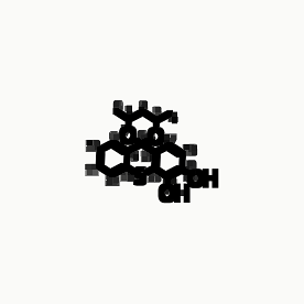 CC1CC(C)OC2(O1)c1ccccc1Sc1c2ccc(O)c1O